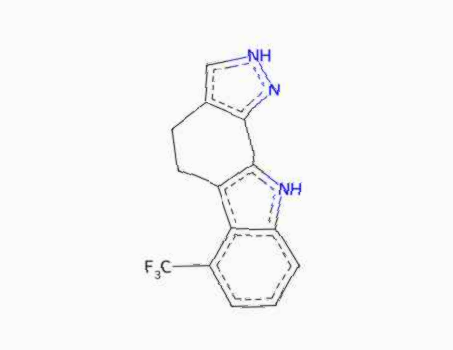 FC(F)(F)c1cccc2[nH]c3c(c12)CCc1c[nH]nc1-3